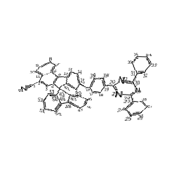 N#Cc1cc2c(c3ccccc13)-c1ccc(-c3ccc(-c4nc(-c5ccccc5)nc(-c5ccccc5)n4)cc3)cc1C21c2ccccc2-c2ccccc21